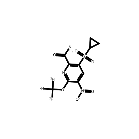 [2H]C([2H])([2H])Oc1nc(C(N)=O)c(S(=O)(=O)C2CC2)cc1[N+](=O)[O-]